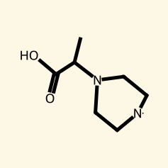 CC(C(=O)O)N1CC[N]CC1